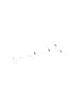 C=C1CCC(=O)N1OC(=O)CCCC(=O)NCCCCC(C)(C)C